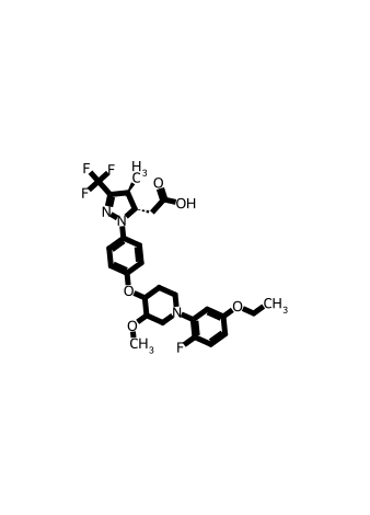 CCOc1ccc(F)c(N2CCC(Oc3ccc(N4N=C(C(F)(F)F)[C@@H](C)[C@@H]4CC(=O)O)cc3)C(OC)C2)c1